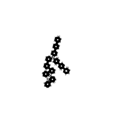 C1=CCC(c2ccc(-c3ccc(N(c4ccc(-c5ccc(-c6ccccc6)cc5)cc4)c4cccc(-c5cccc(-c6cccc7c6c6ccccc6n7-c6cccc7c6sc6ccccc67)c5)c4)cc3)cc2)C=C1